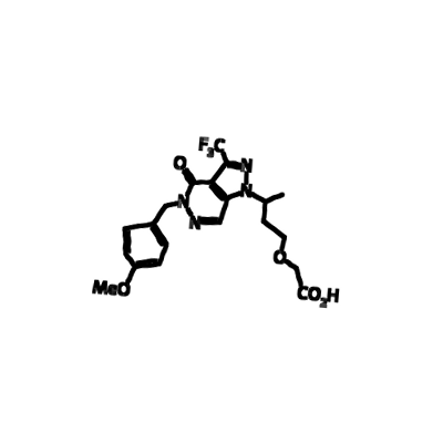 COc1ccc(Cn2ncc3c(c(C(F)(F)F)nn3C(C)CCOCC(=O)O)c2=O)cc1